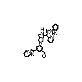 O=Cc1cc(-c2cn3ccccc3n2)cc(N2CC3CNC(C(=O)C4C=CC=CN4c4nc5ccccc5[nH]4)C3C2)c1